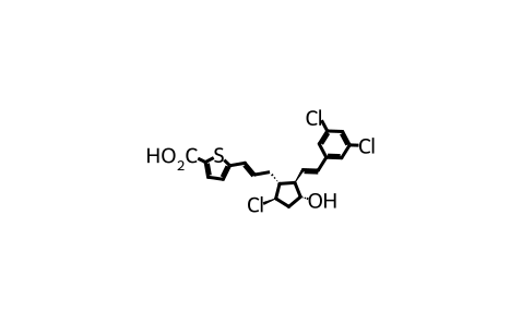 O=C(O)c1ccc(/C=C/C[C@@H]2[C@@H](/C=C/c3cc(Cl)cc(Cl)c3)[C@H](O)C[C@H]2Cl)s1